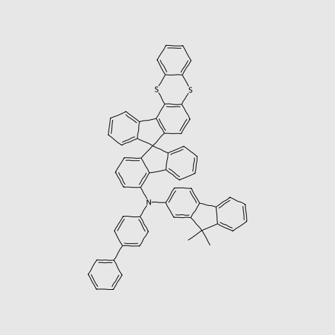 CC1(C)c2ccccc2-c2ccc(N(c3ccc(-c4ccccc4)cc3)c3cccc4c3-c3ccccc3C43c4ccccc4-c4c3ccc3c4Sc4ccccc4S3)cc21